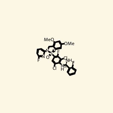 COc1ccc(CN(c2cccc(F)n2)S(=O)(=O)c2cc(Cl)c(N[C@@H](N)c3ccccc3F)c(Cl)c2F)c(OC)c1